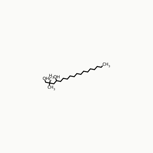 CCCCCCCCCCCCCCC(O)CC(C)(C)CO